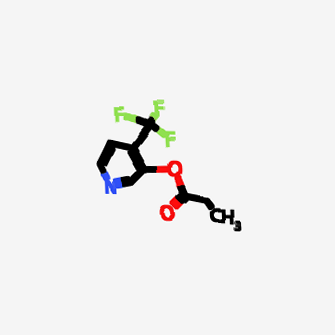 CCC(=O)Oc1cnccc1C(F)(F)F